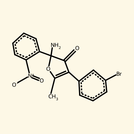 CC1=C(c2cccc(Br)c2)C(=O)C(N)(c2ccccc2[N+](=O)[O-])O1